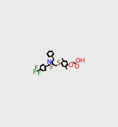 Cc1cc(SCc2sc(-c3ccc(C(F)(F)F)cc3)nc2Cc2ccccc2)c(C)cc1OCC(=O)O